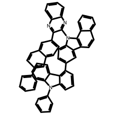 c1ccc(-c2ccc3cc(-c4nc5ccccc5nc4-n4c5ccc(-c6cccc7c6c6ccccc6n7-c6ccccc6)cc5c5ccc6ccccc6c54)ccc3c2)cc1